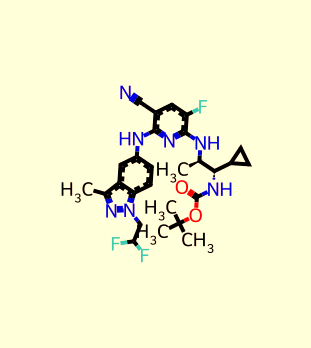 Cc1nn(CC(F)F)c2ccc(Nc3nc(N[C@H](C)[C@@H](NC(=O)OC(C)(C)C)C4CC4)c(F)cc3C#N)cc12